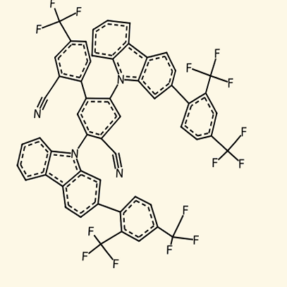 N#Cc1cc(C(F)(F)F)ccc1-c1cc(-n2c3ccccc3c3ccc(-c4ccc(C(F)(F)F)cc4C(F)(F)F)cc32)c(C#N)cc1-n1c2ccccc2c2ccc(-c3ccc(C(F)(F)F)cc3C(F)(F)F)cc21